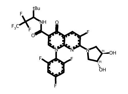 CC(C)(C)C(NC(=O)c1cn(-c2c(F)cc(F)cc2F)c2nc(N3C[C@@H](O)[C@H](O)C3)c(F)cc2c1=O)C(F)(F)C(F)(F)F